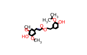 COc1cc(/C=C/C(=O)OCCc2ccc(O)c(OC(C)C)c2)cc(OC)c1O